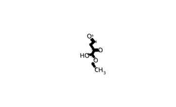 CCOC(O)C(=O)CC=O